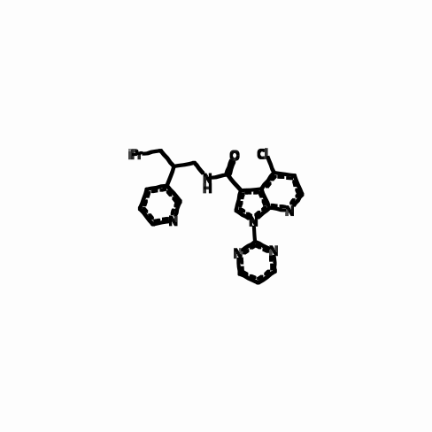 CC(C)CC(CNC(=O)c1cn(-c2ncccn2)c2nccc(Cl)c12)c1cccnc1